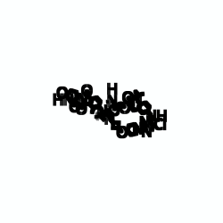 CNC(=O)COc1cc2cc(Nc3nc(N4CCC(OC5CC(N6CCN(c7ccc8c(c7C)C(=O)N([C@@H]7CCC(=O)NC7=O)C8=O)[C@H](C)C6)C5)CC4)ncc3Cl)ccc2n(C(C)C)c1=O